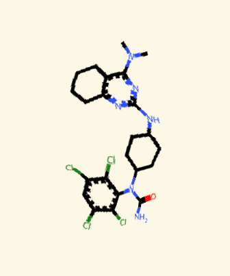 CN(C)c1nc(NC2CCC(N(C(N)=O)c3c(Cl)c(Cl)cc(Cl)c3Cl)CC2)nc2c1CCCC2